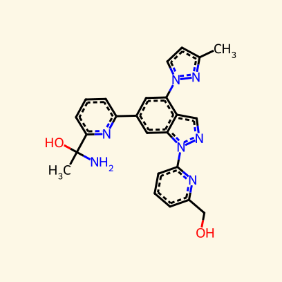 Cc1ccn(-c2cc(-c3cccc(C(C)(N)O)n3)cc3c2cnn3-c2cccc(CO)n2)n1